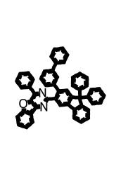 c1ccc(-c2cccc(-c3cc4c(cc3-c3nc(-c5ccccc5)c5oc6ccccc6c5n3)-c3ccccc3C4(c3ccccc3)c3ccccc3)c2)cc1